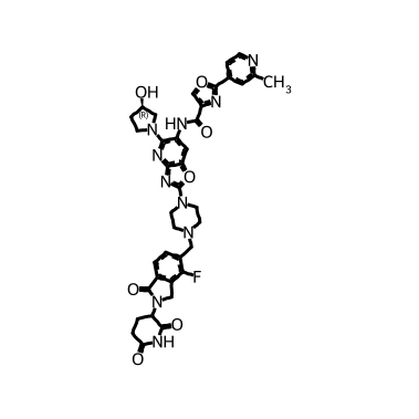 Cc1cc(-c2nc(C(=O)Nc3cc4oc(N5CCN(Cc6ccc7c(c6F)CN(C6CCC(=O)NC6=O)C7=O)CC5)nc4nc3N3CC[C@@H](O)C3)co2)ccn1